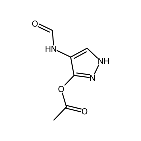 CC(=O)Oc1n[nH]cc1NC=O